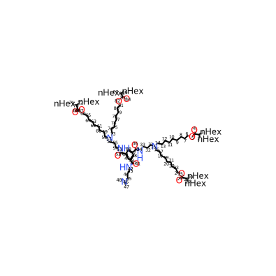 CCCCCCC(CCCCCC)C(=O)OCCCCCCCCCN(CCCCCCCCCOC(=O)C(CCCCCC)CCCCCC)CCCNC(=O)c1cc(C(=O)NCCCN(C)C)cc(C(=O)NCCCN(CCCCCCCCCOC(=O)C(CCCCCC)CCCCCC)CCCCCCCCCOC(=O)C(CCCCCC)CCCCCC)c1